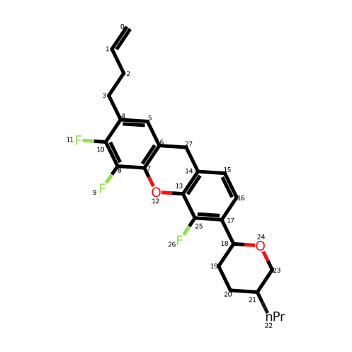 C=CCCc1cc2c(c(F)c1F)Oc1c(ccc(C3CCC(CCC)CO3)c1F)C2